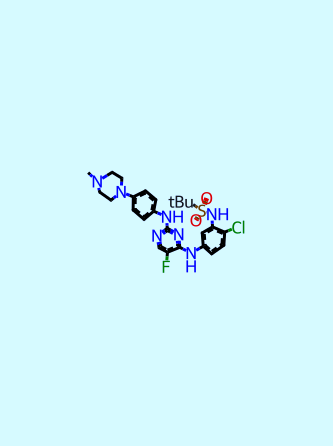 CN1CCN(c2ccc(Nc3ncc(F)c(Nc4ccc(Cl)c(NS(=O)(=O)C(C)(C)C)c4)n3)cc2)CC1